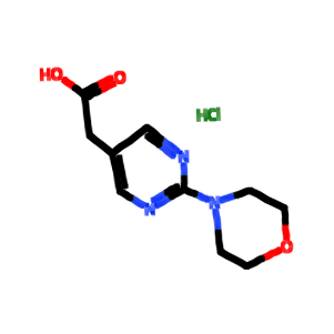 Cl.O=C(O)Cc1cnc(N2CCOCC2)nc1